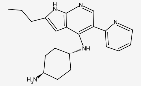 CCCc1cc2c(N[C@H]3CC[C@H](N)CC3)c(-c3ccccn3)cnc2[nH]1